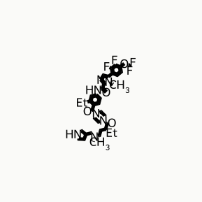 CCc1cc(NC(=O)c2ncc(-c3ccc(OC(F)F)c(F)c3F)n2C)ccc1C(=O)N1CCN(C(=O)C(CC)CCN(C)CC2CCNC2)CC1